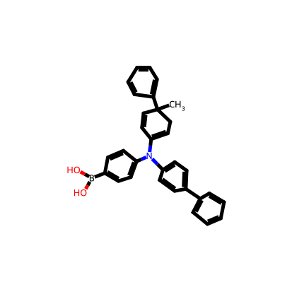 CC1(c2ccccc2)C=CC(N(c2ccc(B(O)O)cc2)c2ccc(-c3ccccc3)cc2)=CC1